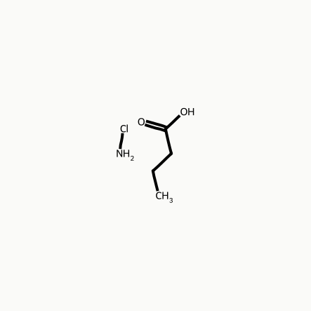 CCCC(=O)O.NCl